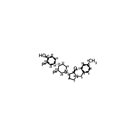 Cc1ccc(CN2CC[C@H](N3CC[C@@H](c4ccc(O)c(F)c4)[C@H](F)C3)C2=O)cc1